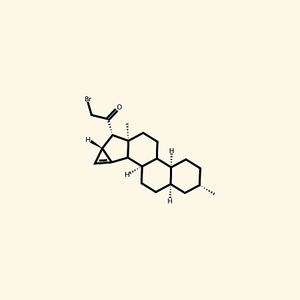 C[C@H]1CC[C@@H]2C3CC[C@@]4(C)C(C5=C[C@@H]5[C@@H]4C(=O)CBr)[C@@H]3CC[C@@H]2C1